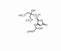 CCCCCCCC(O)O.O=C(O)CC(O)(CC(=O)O)C(=O)O.O=C1C=CC(=O)O1